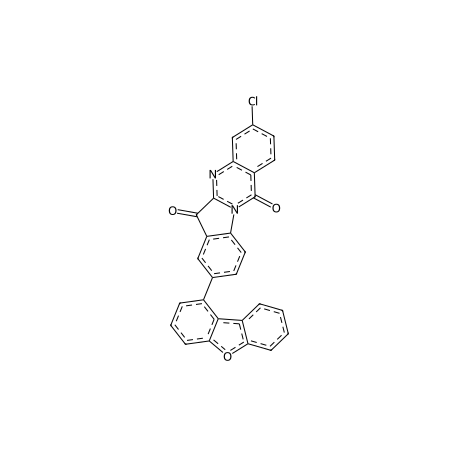 O=C1c2cc(-c3cccc4oc5ccccc5c34)ccc2-n2c1nc1cc(Cl)ccc1c2=O